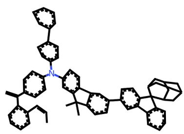 C=C(c1ccc(N(c2ccc(-c3ccccc3)cc2)c2ccc3c(c2)C(C)(C)c2ccc(-c4ccc5c(c4)-c4ccccc4C54C5CC6CC(C5)CC4C6)cc2-3)cc1)c1ccccc1/C=C\C